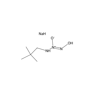 CC(C)(C)CN[N+]([O-])=NO.[NaH]